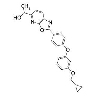 CC(O)c1ccc2nc(-c3ccc(Oc4cccc(OCC5CC5)c4)cc3)oc2n1